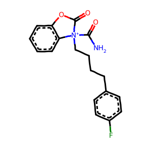 NC(=O)[N+]1(CCCCc2ccc(F)cc2)C(=O)Oc2ccccc21